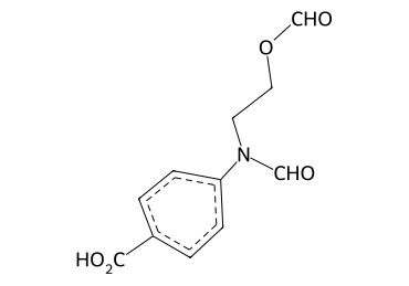 O=COCCN(C=O)c1ccc(C(=O)O)cc1